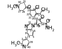 Cc1cc(-c2ccc3c(c2)ncn3-c2cc(O[C@H](C)c3cccc(OC4CCN(C)CC4)c3Cl)c(C(N)=O)s2)ccn1